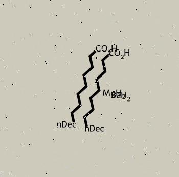 CCCCCCCCCCCCCCCCCC(=O)O.CCCCCCCCCCCCCCCCCC(=O)O.[BaH2].[MgH2]